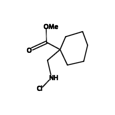 COC(=O)C1(CNCl)CCCCC1